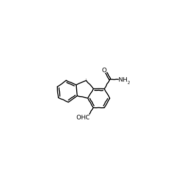 NC(=O)c1ccc(C=O)c2c1[CH]c1ccccc1-2